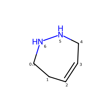 [C]1CC=CCNN1